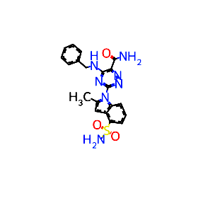 Cc1cc2c(S(N)(=O)=O)cccc2n1-c1nnc(C(N)=O)c(NCc2ccccc2)n1